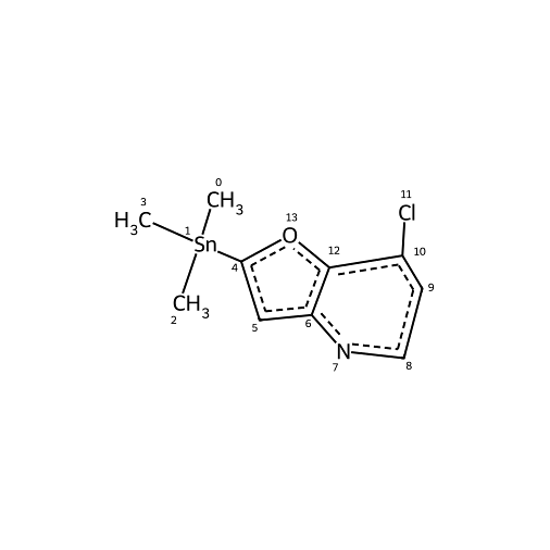 [CH3][Sn]([CH3])([CH3])[c]1cc2nccc(Cl)c2o1